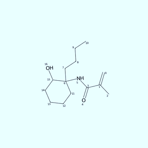 C=C(C)C(=O)NC1(CCCC)CCCCC1O